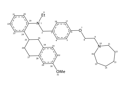 CCN(Cc1ccc(OCCN2CCCCCC2)cc1)c1ccccc1C1CCc2cc(OC)ccc2C1